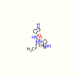 C=C/C(=C\C=C/C)CC(NC(=O)c1cccc2[nH]ccc12)C(=O)Nc1cccc2[nH]ncc12